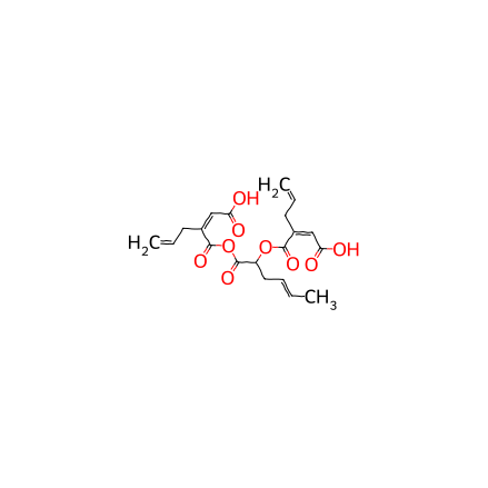 C=CC/C(=C/C(=O)O)C(=O)OC(=O)C(CC=CC)OC(=O)/C(=C\C(=O)O)CC=C